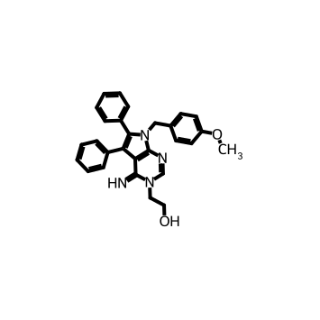 COc1ccc(Cn2c(-c3ccccc3)c(-c3ccccc3)c3c(=N)n(CCO)cnc32)cc1